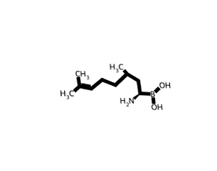 CC(C)=CCCC(C)C[C@H](N)B(O)O